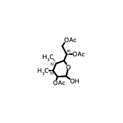 CC(=O)OC[C@@H](OC(C)=O)C1OC(O)C(OC(C)=O)[C@@H](C)[C@@H]1C